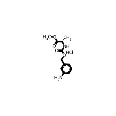 COC(=O)[C@H](C)NC(=O)OCc1cccc(N)c1.Cl